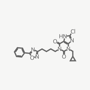 O=c1c2[nH]c(Cl)nc2n(CC2CC2)c(=O)n1CCCCc1noc(-c2ccccc2)n1